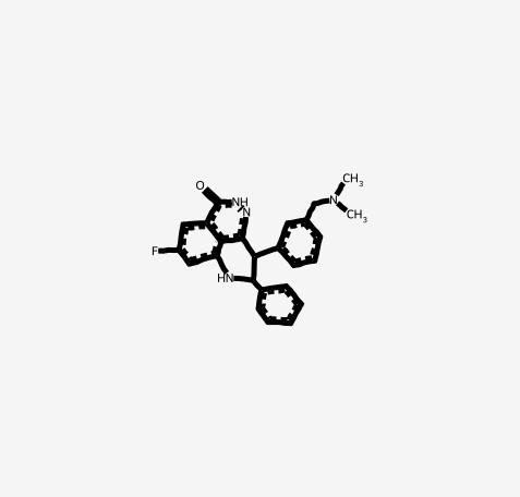 CN(C)Cc1cccc(C2c3n[nH]c(=O)c4cc(F)cc(c34)NC2c2ccccc2)c1